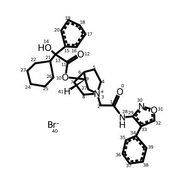 O=C(C[N+]12CCC(CC1)[C@@H](OC(=O)C(O)(c1ccccc1)C1CCCCC1)C2)Nc1nocc1-c1ccccc1.[Br-]